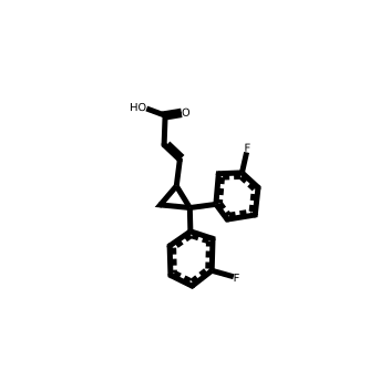 O=C(O)C=CC1CC1(c1cccc(F)c1)c1cccc(F)c1